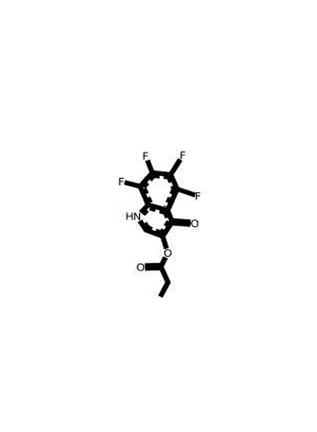 CCC(=O)Oc1c[nH]c2c(F)c(F)c(F)c(F)c2c1=O